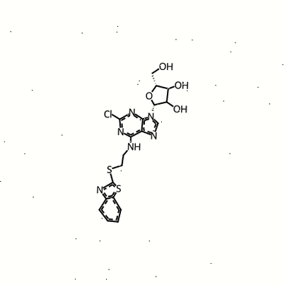 OC[C@H]1O[C@@H](n2cnc3c(NCCSc4nc5ccccc5s4)nc(Cl)nc32)C(O)C1O